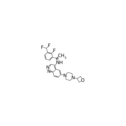 C[C@@H](Nc1cnnc2ccc(N3CCN(C4COC4)CC3)cc12)c1cccc(C(F)F)c1F